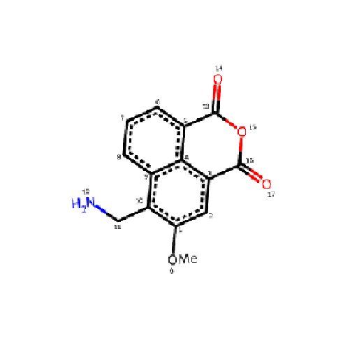 COc1cc2c3c(cccc3c1CN)C(=O)OC2=O